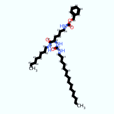 CCCCCCCCCCCCCCCCNC(=O)NC(CCCCNC(=O)OCc1ccccc1)C(=O)NCCCCCCCC